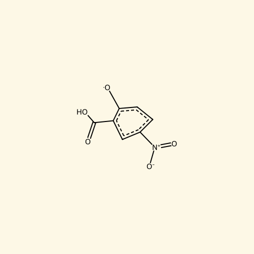 [O]c1ccc([N+](=O)[O-])cc1C(=O)O